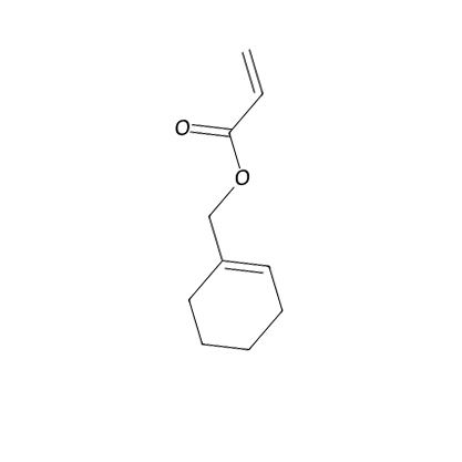 C=CC(=O)OCC1=CCCCC1